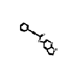 O=C(C#Cc1ccccc1)Nc1cnc2[nH]ccc2c1